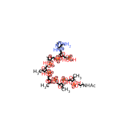 CC(=O)NCCCOP(=O)(O)OC1CC(C)OC1COP(=O)(O)OC1CC(C)OC1COP(=O)(O)OC1CC(C)OC1COP(=O)(O)OC1CC(C)OC1COP(=O)(O)OC1CCOC1COP(=O)(O)OC1CC(c2nc3c(N)ncnc3[nH]2)OC1COP(=O)(O)O